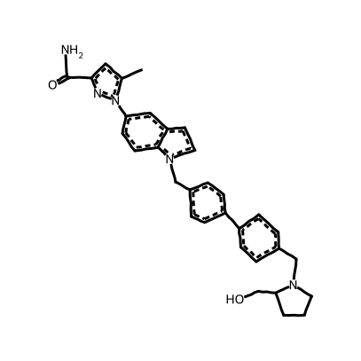 Cc1cc(C(N)=O)nn1-c1ccc2c(ccn2Cc2ccc(-c3ccc(CN4CCCC4CO)cc3)cc2)c1